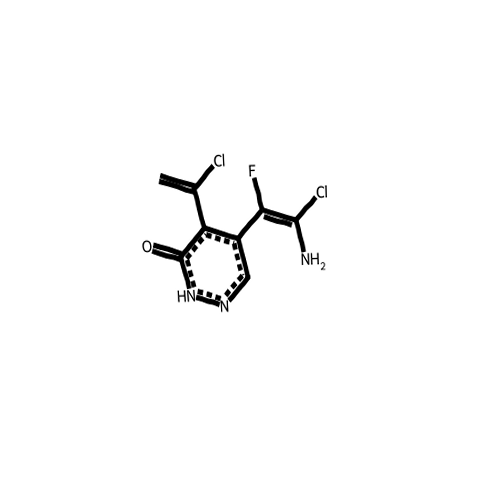 C=C(Cl)c1c(/C(F)=C(\N)Cl)cn[nH]c1=O